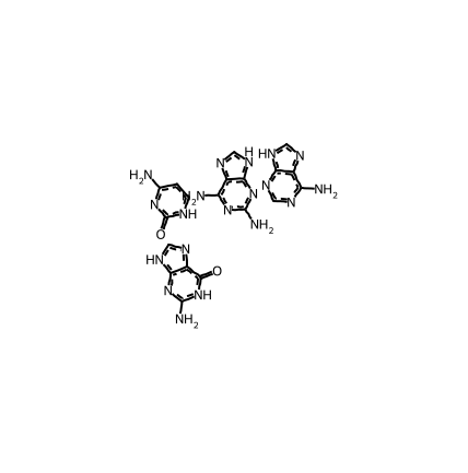 Nc1cc[nH]c(=O)n1.Nc1nc(N)c2nc[nH]c2n1.Nc1nc2[nH]cnc2c(=O)[nH]1.Nc1ncnc2[nH]cnc12